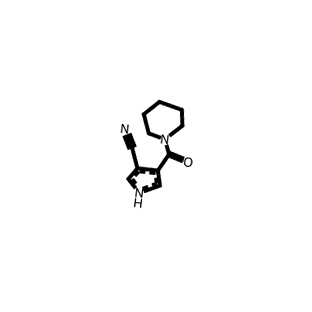 N#Cc1c[nH]cc1C(=O)N1CCCCC1